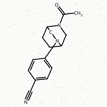 CC(=O)N1CC2CCC1CN2c1ccc(C#N)cc1